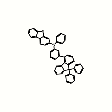 c1ccc(N(c2cccc(-c3cccc4c3-c3ccccc3C4(c3ccccc3)c3ccccc3)c2)c2ccc3c(c2)sc2ccccc23)cc1